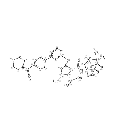 C[C@@H]1[C@@H](NC(=O)[C@@H]2[C@H]([C@H](C)O)[C@H](C)ON2Cc2cccc(-c3ccc(C(=O)N4CCOCC4)cc3)c2)C[C@H]2C[C@@H]1C2(C)C